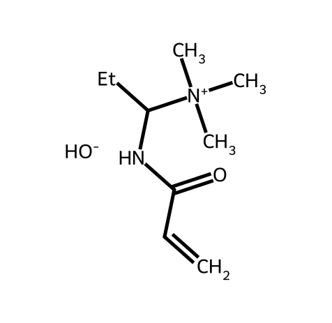 C=CC(=O)NC(CC)[N+](C)(C)C.[OH-]